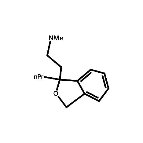 CCCC1(CCNC)OCc2ccccc21